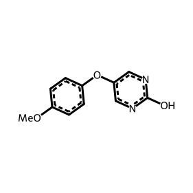 COc1ccc(Oc2cnc(O)nc2)cc1